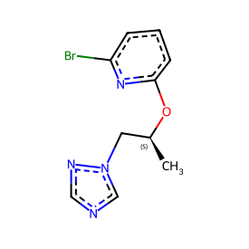 C[C@@H](Cn1cncn1)Oc1cccc(Br)n1